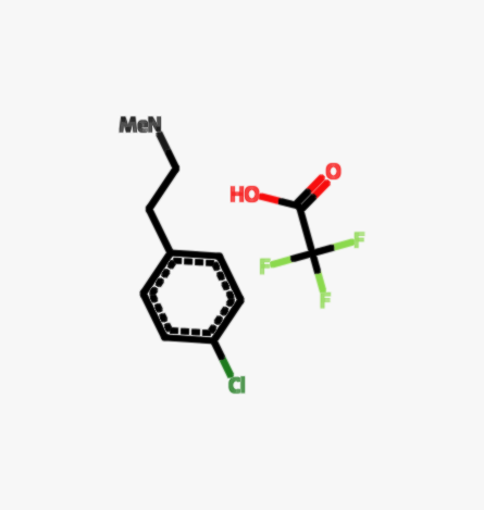 CNCCc1ccc(Cl)cc1.O=C(O)C(F)(F)F